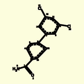 NC(=O)c1ccc(-c2cc(Cl)cc(Cl)c2)cc1